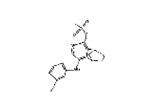 CS(=O)(=O)Oc1ncc(Nc2cccc(F)c2)c2c1C1CCC2C1